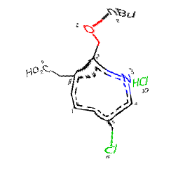 CCCCOc1ncc(Cl)cc1C(=O)O.Cl